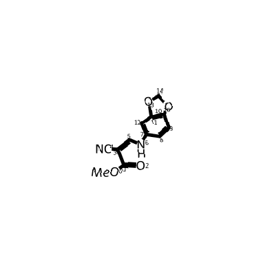 COC(=O)C(C#N)=CNc1ccc2c(c1)OCO2